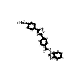 CCCCCCc1ccc(-c2nnc(-c3ccc(C(=O)On4nnc5ccccc54)cc3)s2)cc1